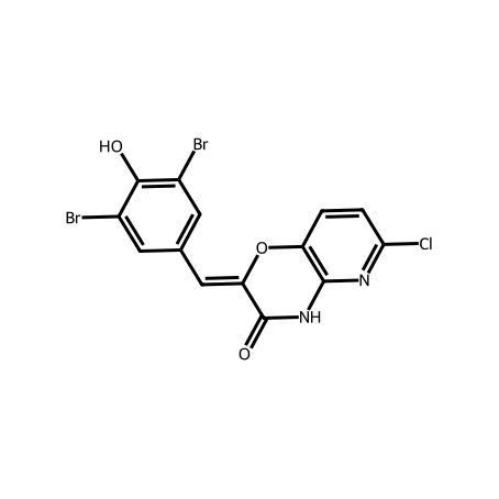 O=C1Nc2nc(Cl)ccc2OC1=Cc1cc(Br)c(O)c(Br)c1